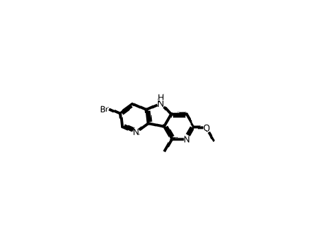 COc1cc2[nH]c3cc(Br)cnc3c2c(C)n1